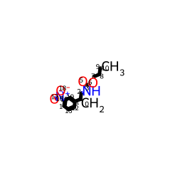 C=C(CNC(=O)OCCCC)c1cccc([N+](=O)[O-])c1